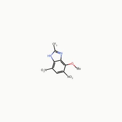 CCC(C)Oc1c([N+](=O)[O-])cc([N+](=O)[O-])c2[nH]c(C(F)(F)F)nc12